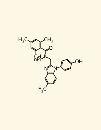 CCCN(Cc1nc2cc(C(F)(F)F)ccc2n1-c1ccc(O)cc1)C(=O)c1c(C)cc(C)cc1C